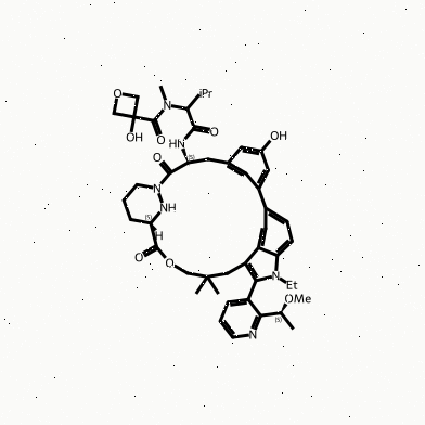 CCn1c(-c2cccnc2[C@H](C)OC)c2c3cc(ccc31)-c1cc(O)cc(c1)C[C@H](NC(=O)C(C(C)C)N(C)C(=O)C1(O)COC1)C(=O)N1CCC[C@H](N1)C(=O)OCC(C)(C)C2